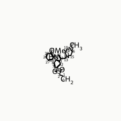 C=CCS(=O)(=O)c1ccc2[nH]cc(CN3CCN(C)CC3)c2c1.COc1ccccc1